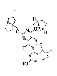 [O-][S+]1[C@@H]2CC[C@H]1CN(c1nc(OC[C@@]34CCCN3C[C@H](F)C4)nc3c(F)c(-c4cc(O)cc5ccc(F)c(F)c45)ccc13)C2